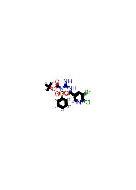 CC(C)(C)OC(=O)N(C(=N)NCc1cnc(Cl)c(Br)c1)S(=O)(=O)c1ccccc1